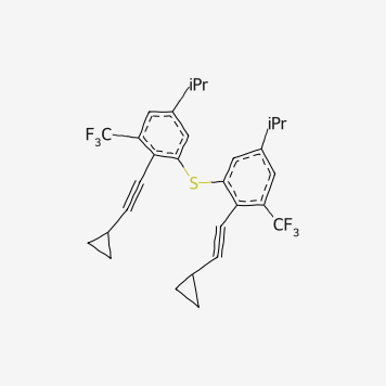 CC(C)c1cc(Sc2cc(C(C)C)cc(C(F)(F)F)c2C#CC2CC2)c(C#CC2CC2)c(C(F)(F)F)c1